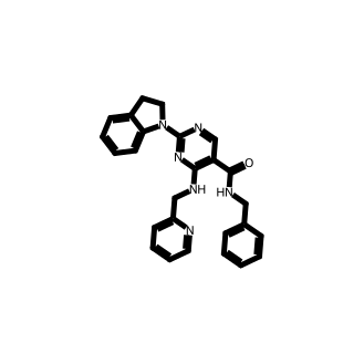 O=C(NCc1ccccc1)c1cnc(N2CCc3ccccc32)nc1NCc1ccccn1